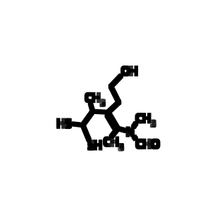 CC(=C(CCO)C(C)C(S)S)N(C)C=O